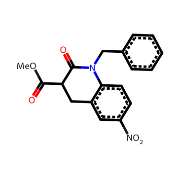 COC(=O)C1Cc2cc([N+](=O)[O-])ccc2N(Cc2ccccc2)C1=O